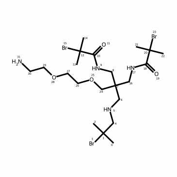 CC(C)(Br)CNCC(CNC(=O)C(C)(C)Br)(CNC(=O)C(C)(C)Br)COCCOCCN